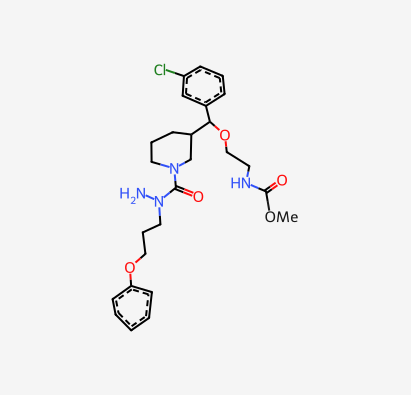 COC(=O)NCCOC(c1cccc(Cl)c1)C1CCCN(C(=O)N(N)CCCOc2ccccc2)C1